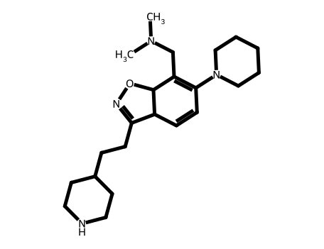 CN(C)CC1=C(N2CCCCC2)C=CC2C(CCC3CCNCC3)=NOC12